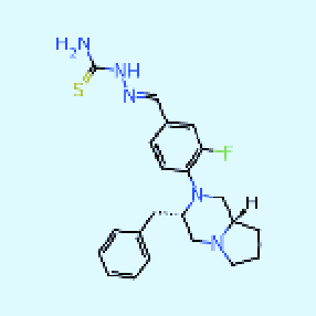 NC(=S)NN=Cc1ccc(N2C[C@@H]3CCCN3C[C@@H]2Cc2ccccc2)c(F)c1